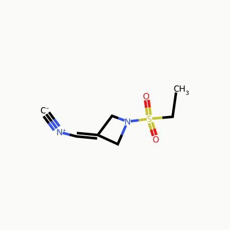 [C-]#[N+]C=C1CN(S(=O)(=O)CC)C1